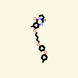 Cc1ccc(Oc2ccc(OCCCCCOc3cc4c(cc3C)C(=O)N3CCC[C@H]3C=N4)cc2F)cc1